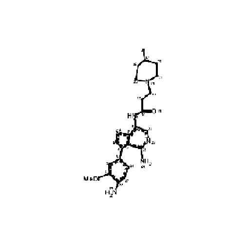 COc1cc(-c2csc3c(NC(=O)CCN4CCC(C)CC4)cnc(N)c23)ccc1N